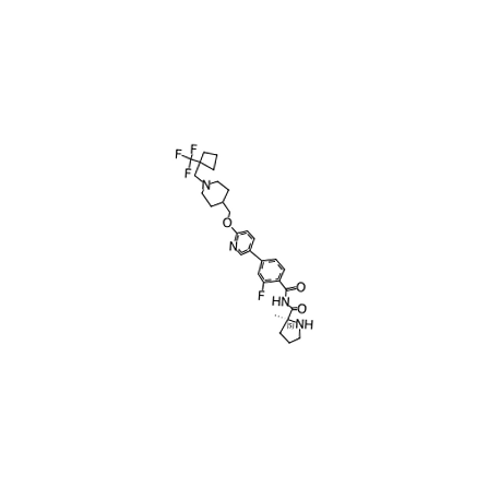 C[C@@]1(C(=O)NC(=O)c2ccc(-c3ccc(OCC4CCN(CC5(C(F)(F)F)CCC5)CC4)nc3)cc2F)CCCN1